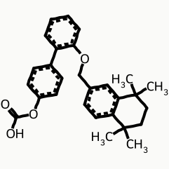 CC1(C)CCC(C)(C)c2cc(COc3ccccc3-c3ccc(OC(=O)O)cc3)ccc21